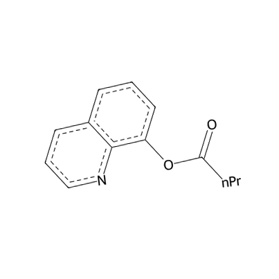 CCCC(=O)Oc1cccc2cccnc12